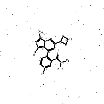 CCN(C(=O)c1cc(F)ccc1-c1cc(C2CNC2)cn2c(C)nc(F)c12)C(C)C